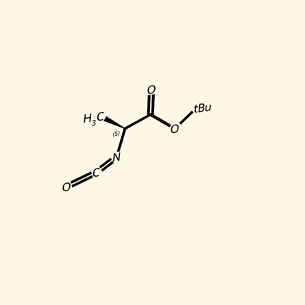 C[C@H](N=C=O)C(=O)OC(C)(C)C